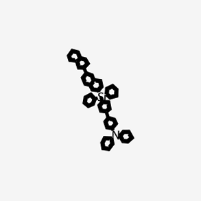 c1ccc(N(c2ccccc2)c2ccc(-c3ccc([Si](c4ccccc4)(c4ccccc4)c4ccc5cc(-c6ccc7ccccc7c6)ccc5c4)cc3)cc2)cc1